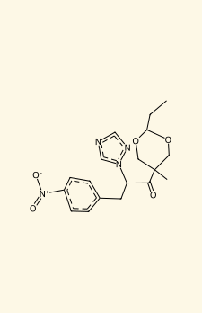 CCC1OCC(C)(C(=O)C(Cc2ccc([N+](=O)[O-])cc2)n2cncn2)CO1